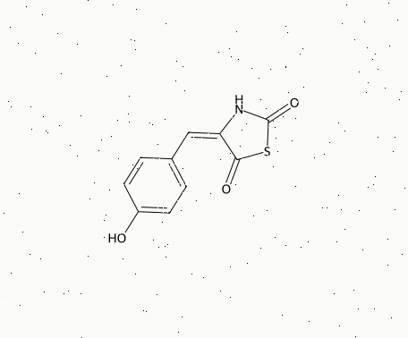 O=C1NC(=Cc2ccc(O)cc2)C(=O)S1